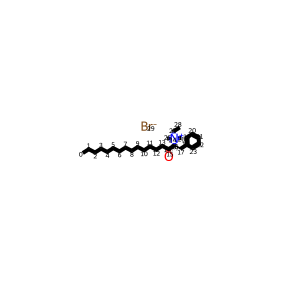 CCCCCCCCCCCCCCC(=O)[C@H](Cc1ccccc1)[N+](C)(C)CC.[Br-]